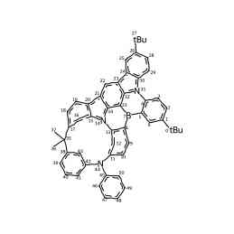 CC(C)(C)c1ccc2c(c1)B1c3ccc4cc3-n3c5cc(ccc5c5cc6c7cc(C(C)(C)C)ccc7n-2c6c1c53)C(C)(C)c1cccc(c1)N4c1ccccc1